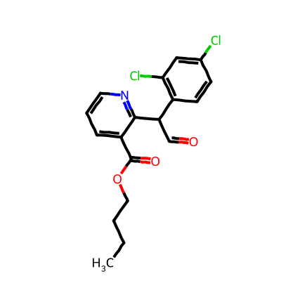 CCCCOC(=O)c1cccnc1C(C=O)c1ccc(Cl)cc1Cl